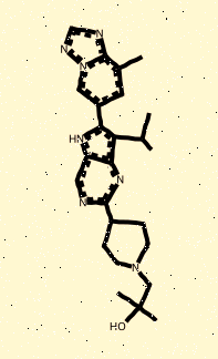 Cc1cc(-c2[nH]c3cnc(C4CCN(CC(C)(C)O)CC4)nc3c2C(C)C)cn2ncnc12